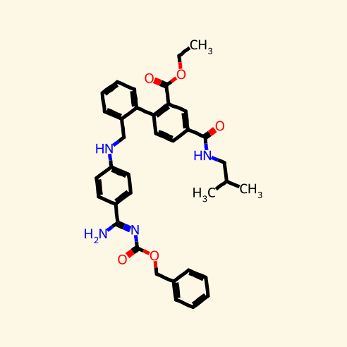 CCOC(=O)c1cc(C(=O)NCC(C)C)ccc1-c1ccccc1CNc1ccc(C(N)=NC(=O)OCc2ccccc2)cc1